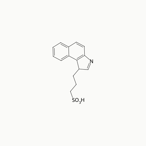 O=S(=O)(O)CCCC1C=Nc2ccc3ccccc3c21